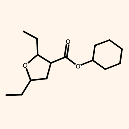 CCC1CC(C(=O)OC2CCCCC2)C(CC)O1